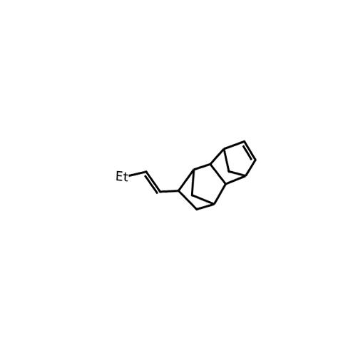 CCC=CC1CC2CC1C1C3C=CC(C3)C21